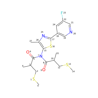 CSCC(C)C(=O)N(C(=O)C(C)CSC)c1sc(-c2cncc(F)c2)nc1C